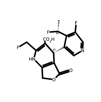 C[C@@H](F)c1c(F)cncc1[C@H]1C(C(=O)O)=C(CF)NC2=C1C(=O)OC2